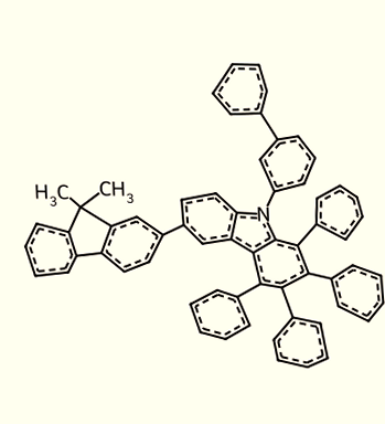 CC1(C)c2ccccc2-c2ccc(-c3ccc4c(c3)c3c(-c5ccccc5)c(-c5ccccc5)c(-c5ccccc5)c(-c5ccccc5)c3n4-c3cccc(-c4ccccc4)c3)cc21